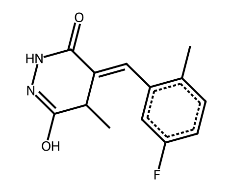 Cc1ccc(F)cc1/C=C1/C(=O)NN=C(O)C1C